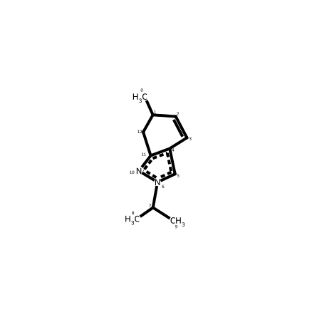 CC1C=Cc2cn(C(C)C)nc2C1